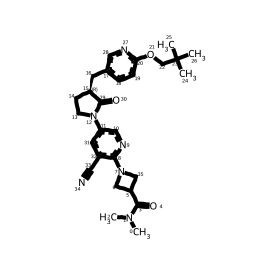 CN(C)C(=O)C1CN(c2ncc(N3CC[C@@H](Cc4ccc(OCC(C)(C)C)nc4)C3=O)cc2C#N)C1